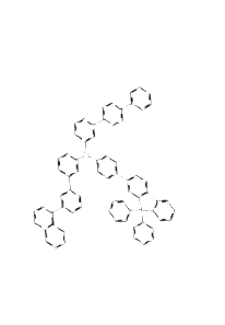 c1ccc(-c2ccc(-c3cccc(N(c4ccc(-c5ccc6c(c5)C(c5ccccc5)(c5ccccc5)c5ccccc5-6)cc4)c4cccc(-c5cccc(-c6cccc7ccccc67)c5)c4)c3)cc2)cc1